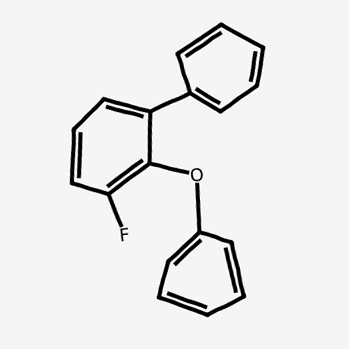 Fc1cccc(-c2ccccc2)c1Oc1ccccc1